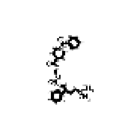 CN(C)CCc1cn(C(=O)OCOC(=O)C2CCN(C(=O)C3=CCC=CC3)CC2)c2ccccc12